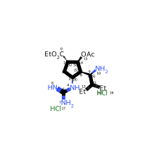 CCOC(=O)[C@H]1C[C@@H](NC(=N)N)[C@H]([C@@H](N)C(CC)CC)[C@@H]1OC(C)=O.Cl.Cl